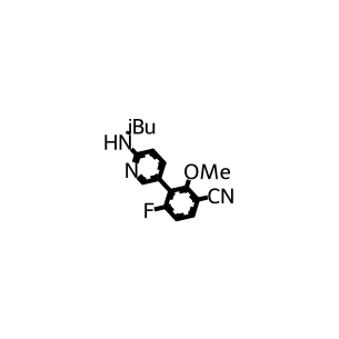 CCC(C)Nc1ccc(-c2c(F)ccc(C#N)c2OC)cn1